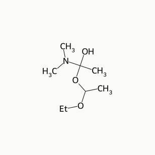 CCOC(C)OC(C)(O)N(C)C